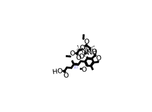 CCOC(=O)[C@H](C)NP(=O)(N[C@@H](C)C(=O)OCC)c1c(C/C=C(\C)CCC(=O)O)c(OC)c(C)c2c1C(=O)OC2